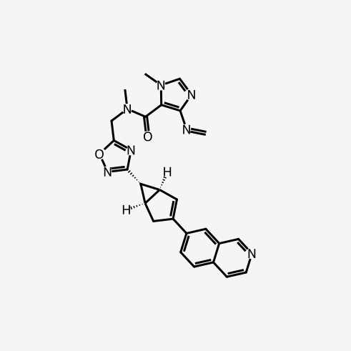 C=Nc1ncn(C)c1C(=O)N(C)Cc1nc([C@@H]2[C@H]3C=C(c4ccc5ccncc5c4)C[C@H]32)no1